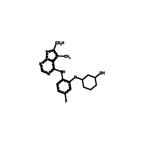 Cc1c(C(=O)O)sc2ncnc(Nc3ccc(F)cc3OC3CCCC(O)C3)c12